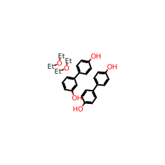 CCOCC.CCOCC.Oc1ccc(-c2ccc(O)cc2)cc1.Oc1ccc(-c2cccc(O)c2)cc1